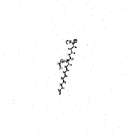 CCCCCCCCCCCCCCCCCC(=O)Cl.CCO